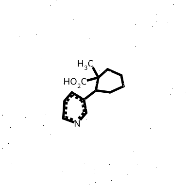 CC1(C(=O)O)CCCCC1c1cccnc1